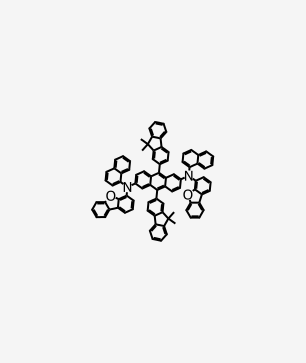 CC1(C)c2ccccc2-c2ccc(-c3c4ccc(N(c5cccc6ccccc56)c5cccc6c5oc5ccccc56)cc4c(-c4ccc5c(c4)C(C)(C)c4ccccc4-5)c4ccc(N(c5cccc6ccccc56)c5cccc6c5oc5ccccc56)cc34)cc21